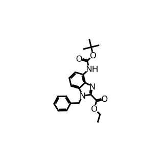 CCOC(=O)c1nc2c(NC(=O)OC(C)(C)C)cccc2n1Cc1ccccc1